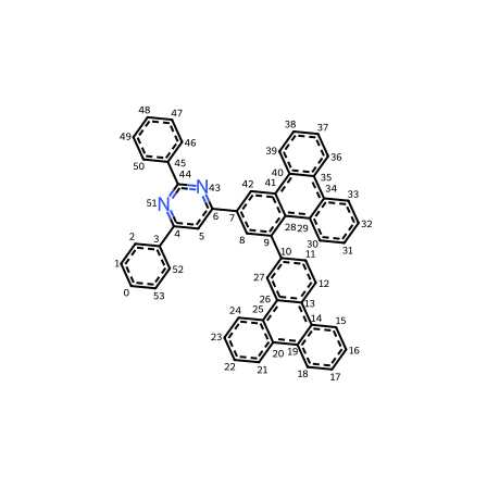 c1ccc(-c2cc(-c3cc(-c4ccc5c6ccccc6c6ccccc6c5c4)c4c5ccccc5c5ccccc5c4c3)nc(-c3ccccc3)n2)cc1